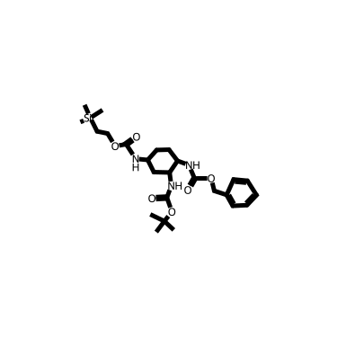 CC(C)(C)OC(=O)NC1CC(NC(=O)OCC[Si](C)(C)C)CCC1NC(=O)OCc1ccccc1